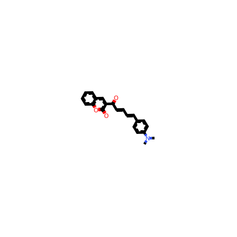 CN(C)c1ccc(C=CC=CC(=O)c2cc3ccccc3oc2=O)cc1